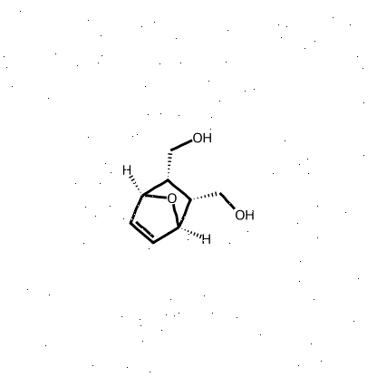 OC[C@@H]1[C@H](CO)[C@H]2C=C[C@@H]1O2